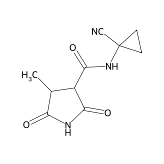 CC1C(=O)NC(=O)C1C(=O)NC1(C#N)CC1